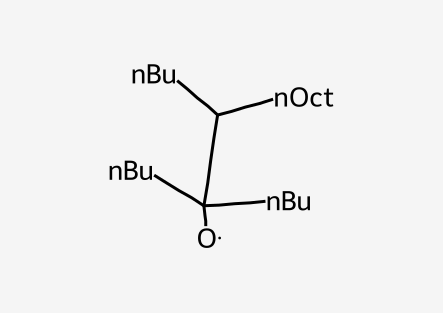 CCCCCCCCC(CCCC)C([O])(CCCC)CCCC